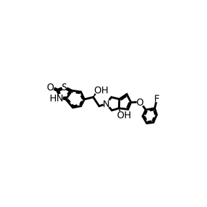 O=c1[nH]c2ccc([C@@H](O)CN3CC4=CC(Oc5ccccc5F)=C[C@@]4(O)C3)cc2s1